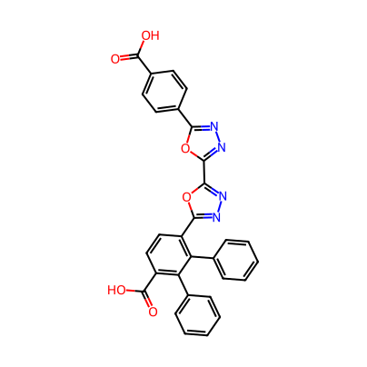 O=C(O)c1ccc(-c2nnc(-c3nnc(-c4ccc(C(=O)O)c(-c5ccccc5)c4-c4ccccc4)o3)o2)cc1